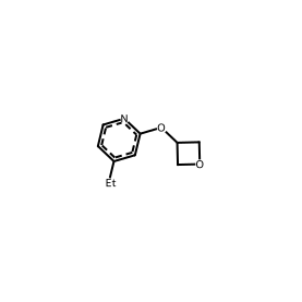 CCc1ccnc(OC2COC2)c1